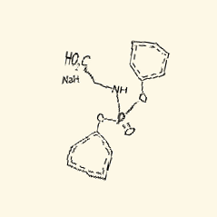 O=C(O)CNP(=O)(Oc1ccccc1)Oc1ccccc1.[NaH]